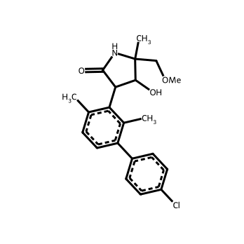 COCC1(C)NC(=O)C(c2c(C)ccc(-c3ccc(Cl)cc3)c2C)C1O